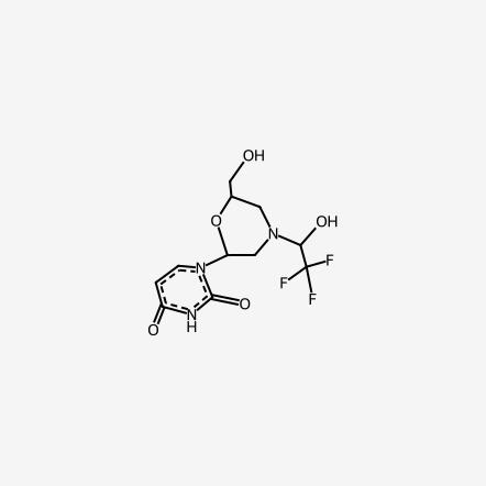 O=c1ccn(C2CN(C(O)C(F)(F)F)CC(CO)O2)c(=O)[nH]1